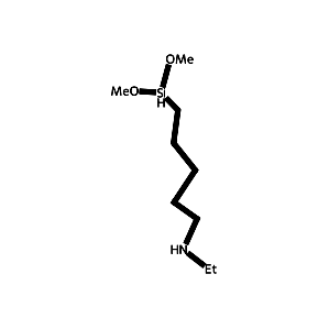 CCNCCCCC[SiH](OC)OC